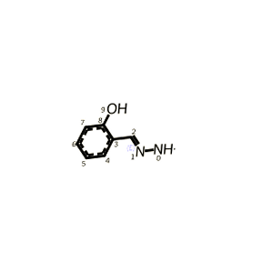 [NH]/N=C/c1ccccc1O